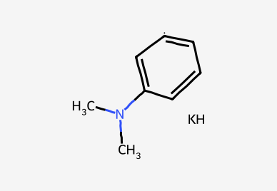 CN(C)c1c[c]ccc1.[KH]